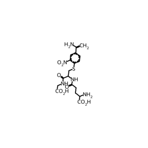 C=C(N)c1ccc(SCC(NC(=O)CCC(N)C(=O)O)C(=O)NCC(=O)O)c([N+](=O)[O-])c1